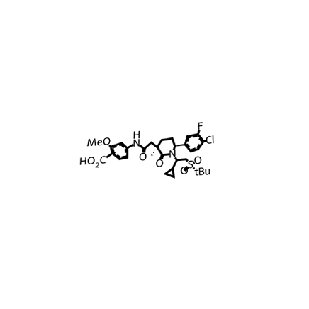 COc1cc(NC(=O)C[C@@]2(C)CC[C@@H](c3ccc(Cl)c(F)c3)N(C(CS(=O)(=O)C(C)(C)C)C3CC3)C2=O)ccc1C(=O)O